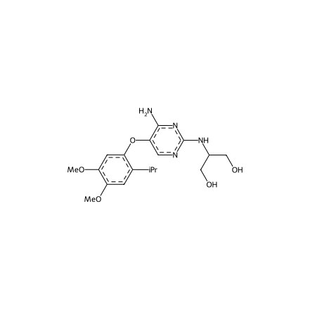 COc1cc(Oc2cnc(NC(CO)CO)nc2N)c(C(C)C)cc1OC